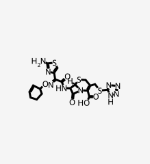 Nc1nc(C(=NOC2C=CCCC2)C(=O)NC2C(=O)N3C(C(=O)O)=C(CSc4nnn[nH]4)CS[C@@H]23)cs1